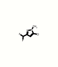 Cn1nc(C(F)F)[c]c1Cl